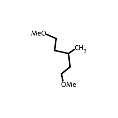 COCCC(C)CCOC